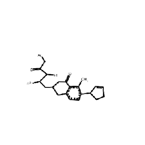 CCCC(CC1CC(=O)c2c(ccc(C3C=CCC3)c2C)C1)C(CC)C(=O)CC(C)=O